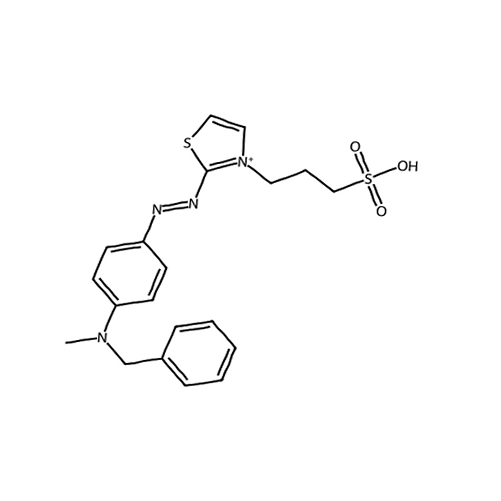 CN(Cc1ccccc1)c1ccc(N=Nc2scc[n+]2CCCS(=O)(=O)O)cc1